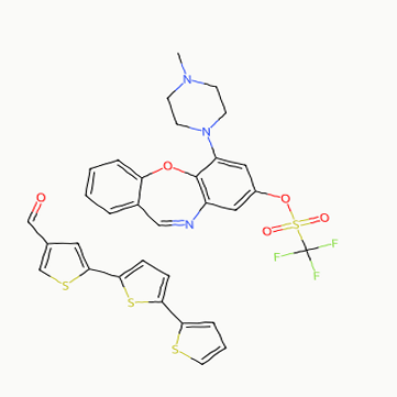 CN1CCN(c2cc(OS(=O)(=O)C(F)(F)F)cc3c2Oc2ccccc2C=N3)CC1.O=Cc1csc(-c2ccc(-c3cccs3)s2)c1